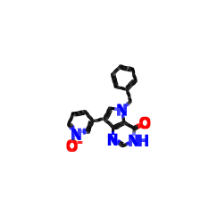 O=c1[nH]cnc2c(-c3ccc[n+]([O-])c3)cn(Cc3ccccc3)c12